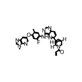 C=CC(=O)N1C[C@H]2CC[C@@H]1[C@@H](c1ccc3ncnc(Nc4cc(C)c(Oc5cnc6c(c5)ncn6C)cc4F)c3n1)C2